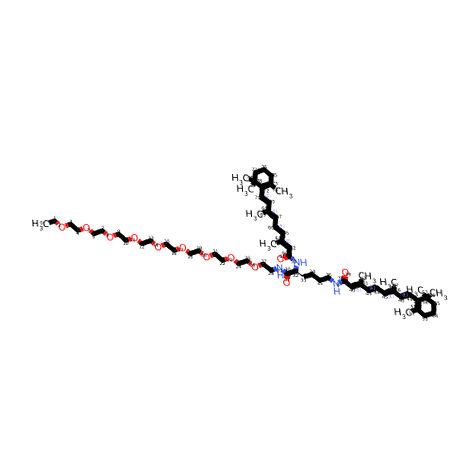 CCOCCOCCOCCOCCOCCOCCOCCOCCOCCNC(=O)[C@@H](CCCCNC(=O)/C=C(C)/C=C/C=C(C)/C=C/C1=C(C)CCCC1(C)C)NC(=O)/C=C(C)/C=C/C=C(C)/C=C/C1=C(C)CCCC1(C)C